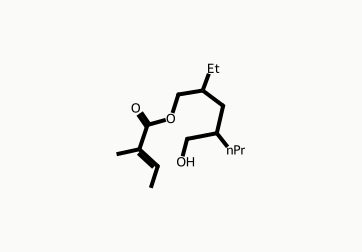 CC=C(C)C(=O)OCC(CC)CC(CO)CCC